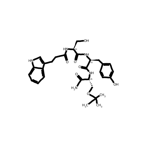 CC(C)(C)OC[C@@H](NC(=O)[C@H](Cc1ccc(O)cc1)NC(=O)[C@H](CO)NC(=O)CCc1c[nH]c2ccccc12)C(N)=O